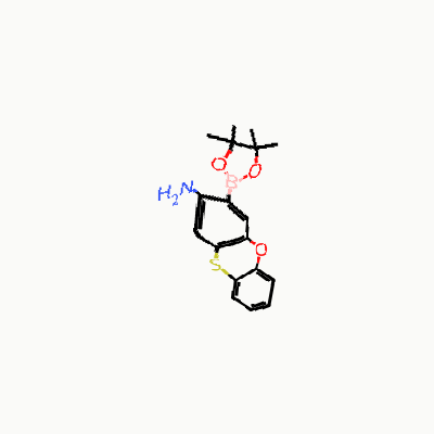 CC1(C)OB(c2cc3c(cc2N)Sc2ccccc2O3)OC1(C)C